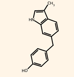 Cc1c[nH]c2cc(Cc3ccc(O)cc3)ccc12